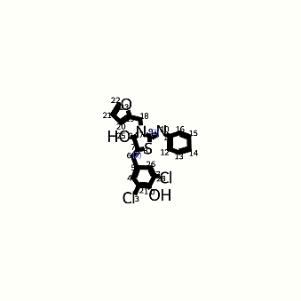 Oc1c(Cl)cc(/C=C2\S/C(=N\c3ccccc3)N(Cc3ccco3)C2O)cc1Cl